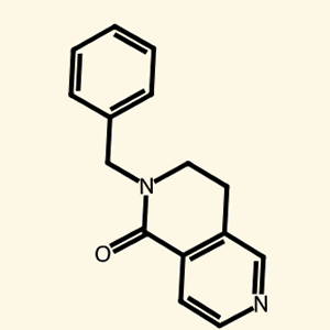 O=C1c2ccncc2CCN1Cc1ccccc1